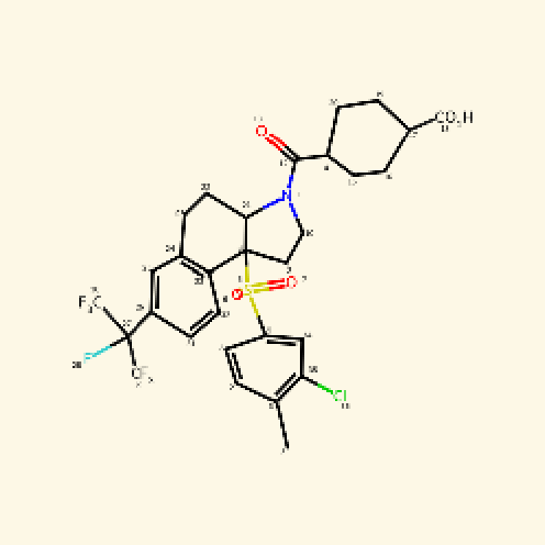 Cc1ccc(S(=O)(=O)C23CCN(C(=O)C4CCC(C(=O)O)CC4)C2CCc2cc(C(F)(C(F)(F)F)C(F)(F)F)ccc23)cc1Cl